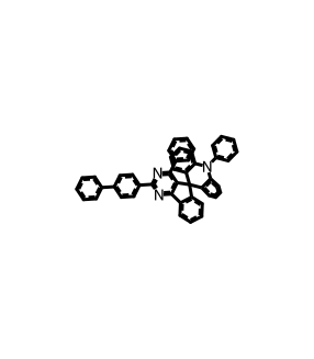 c1ccc(-c2ccc(-c3nc(-c4ccccc4)c4c(n3)-c3ccccc3C43c4ccccc4N(c4ccccc4)c4ccccc43)cc2)cc1